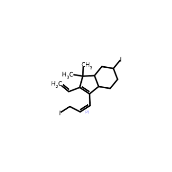 C=CC1=C(/C=C\CI)C2CCC(I)CC2C1(C)C